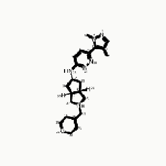 Cc1cnn(C)c1-c1ccc(N[C@H]2C[C@@H]3CN(CC4CCOCC4)C[C@@H]3C2)nn1